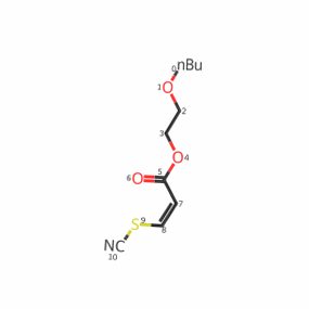 CCCCOCCOC(=O)/C=C\SC#N